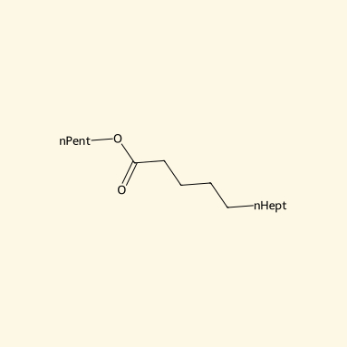 CC[CH]CCOC(=O)CCCCCCCCCCC